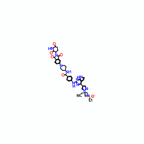 CC[S+]([O-])N1CC(CC#N)(n2cc(-c3nc(Nc4ccc(C(=O)NC5CCN(c6ccc7c(c6)C(=O)N(C6CCC(=O)NC6=O)C7=O)CC5)cc4)nc4[nH]ccc34)cn2)C1